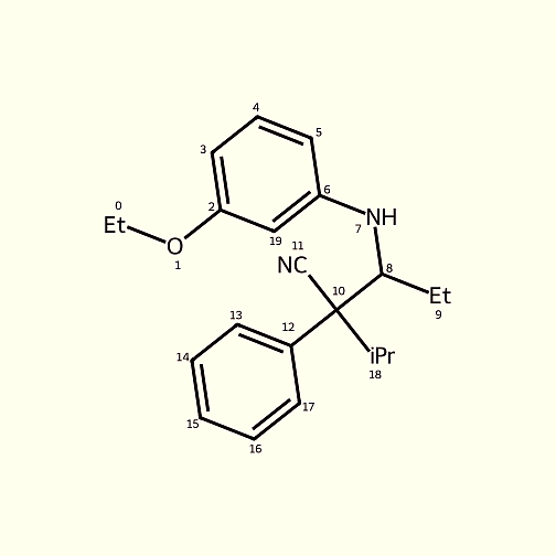 CCOc1cccc(NC(CC)C(C#N)(c2ccccc2)C(C)C)c1